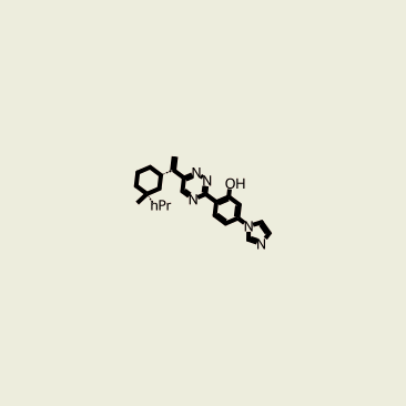 C=C(c1cnc(-c2ccc(-n3ccnc3)cc2O)nn1)[C@H]1CCC[C@@](C)(CCC)C1